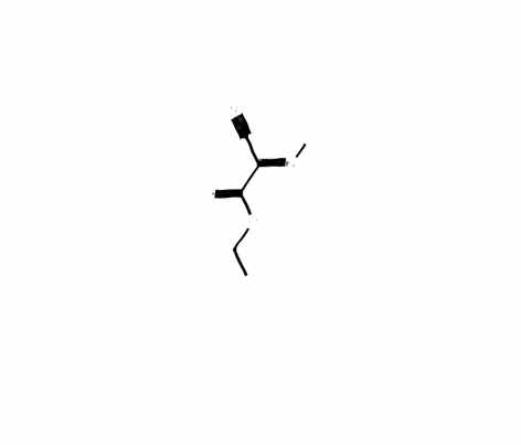 CCOC(=O)C(C#N)=N[O]